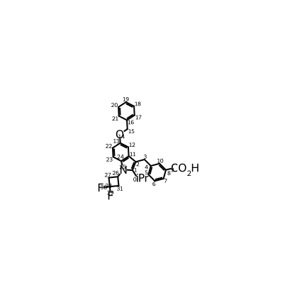 CC(C)c1c(Cc2cccc(C(=O)O)c2)c2cc(OCc3ccccc3)ccc2n1C1CC(F)(F)C1